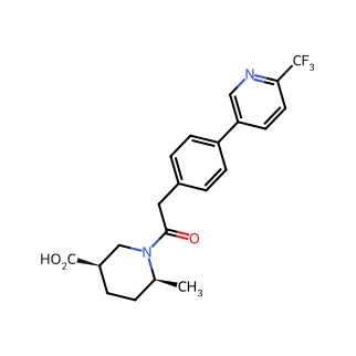 C[C@H]1CC[C@@H](C(=O)O)CN1C(=O)Cc1ccc(-c2ccc(C(F)(F)F)nc2)cc1